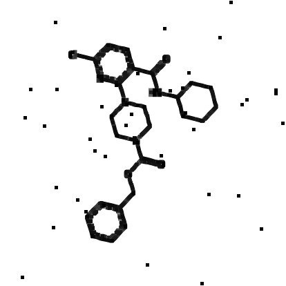 O=C(NC1CCCCC1)c1ccc(Cl)nc1N1CCN(C(=O)OCc2ccccc2)CC1